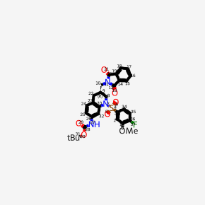 COc1cc(S(=O)(=O)N2C[C@@H](CN3C(=O)c4ccccc4C3=O)Cc3ccc(NC(=O)OC(C)(C)C)cc32)ccc1F